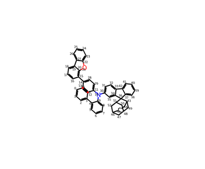 c1ccc(-c2ccccc2N(c2ccc(-c3cccc4c3oc3ccccc34)cc2)c2ccc3c(c2)C2(c4ccccc4-3)C3CCC4CC(C3)CC2C4)cc1